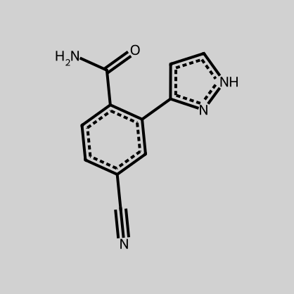 N#Cc1ccc(C(N)=O)c(-c2cc[nH]n2)c1